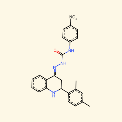 Cc1ccc(C2CC(=NNC(=O)Nc3ccc([N+](=O)[O-])cc3)c3ccccc3N2)c(C)c1